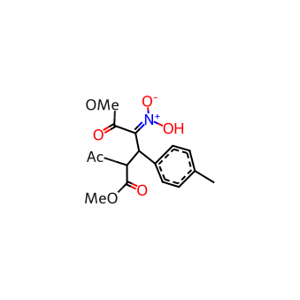 COC(=O)C(C(c1ccc(C)cc1)C(C(C)=O)C(=O)OC)=[N+]([O-])O